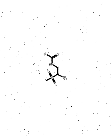 CC(C)C(=O)NCC(C(F)(F)F)S(C)(=O)=O